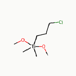 C[O][Ti]([CH3])([CH3])([CH2]CCCl)[O]C